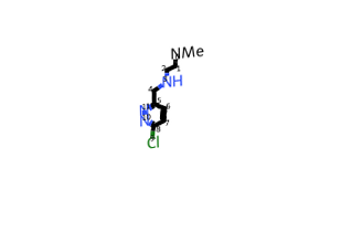 CNCCNCc1ccc(Cl)nn1